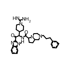 Cn1c(C(=O)C(NC(=O)C2CCC3CN(CCCc4ccccc4)CCN32)C2CCN(C(=N)N)CC2)nc2ccccc21